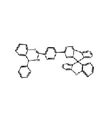 c1ccc(C2NC(c3ccc(-c4ccc5c(c4)C4(c6ccccc6Oc6ccccc64)c4ccccc4-5)cc3)=Nc3ccccc32)cc1